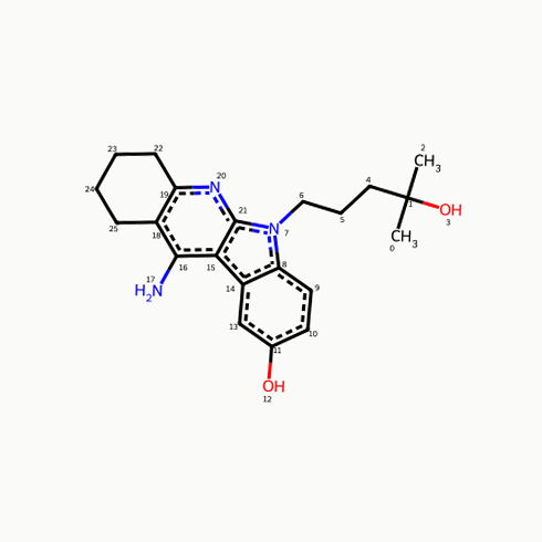 CC(C)(O)CCCn1c2ccc(O)cc2c2c(N)c3c(nc21)CCCC3